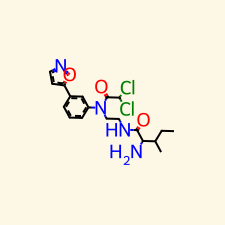 CCC(C)C(N)C(=O)NCCN(C(=O)C(Cl)Cl)c1cccc(-c2ccno2)c1